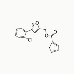 O=C(OCc1cc(-c2ccccc2Cl)no1)C1=CC=CC1